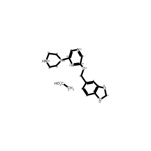 CC(=O)O.c1cc2c(cc1COc1cncc(N3CCNCC3)n1)OCO2